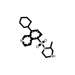 CC1CNCCN1S(=O)(=O)c1ccc(C2CCCCC2)c2cnccc12